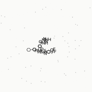 O=C(Nc1nc2ccc(OC(F)(F)F)cc2s1)NC(c1ccc(C(=O)Nc2nn[nH]n2)cc1)c1ccc(C2CCCCC2)cc1